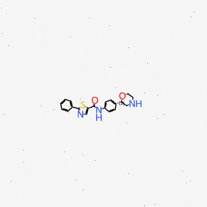 O=C(Nc1ccc([C@H]2CNCCO2)cc1)c1cnc(-c2ccccc2)s1